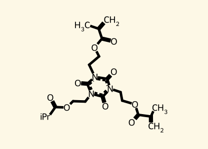 C=C(C)C(=O)OCCn1c(=O)n(CCOC(=O)C(=C)C)c(=O)n(CCOC(=O)C(C)C)c1=O